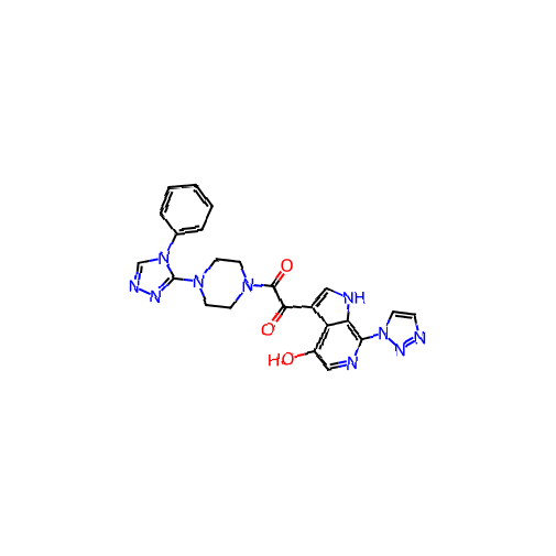 O=C(C(=O)N1CCN(c2nncn2-c2ccccc2)CC1)c1c[nH]c2c(-n3ccnn3)ncc(O)c12